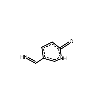 N=Cc1ccc(=O)[nH]c1